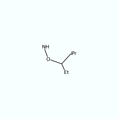 CCC(O[NH])C(C)C